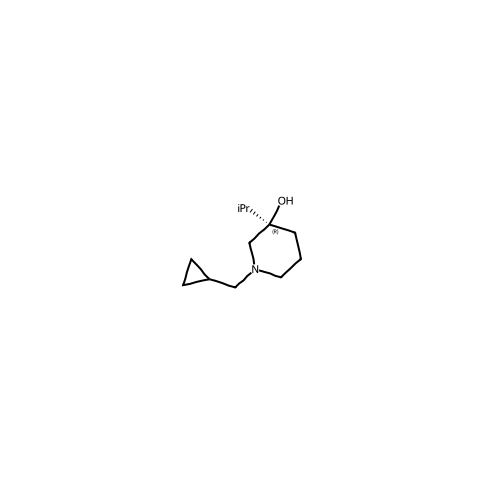 CC(C)[C@]1(O)CCCN(CC2CC2)C1